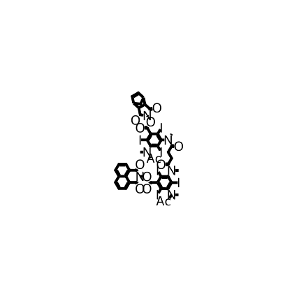 CC(=O)N(C)c1c(I)c(C(=O)ON2C(=O)c3cccc4cccc(c34)C2=O)c(I)c(N(C)C(=O)CCC(=O)N(C)c2c(I)c(C(=O)ON3C(=O)C4C5C=CC(C5)C4C3=O)c(I)c(N(C)C(C)=O)c2I)c1I